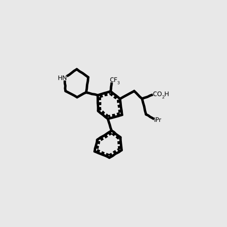 CC(C)CC(Cc1cc(-c2ccccc2)cc(C2CCNCC2)c1C(F)(F)F)C(=O)O